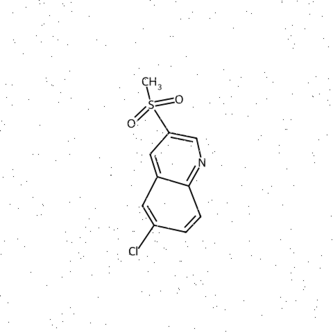 CS(=O)(=O)c1cnc2ccc(Cl)cc2c1